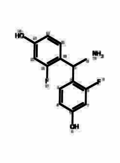 CC(c1ccc(O)cc1F)c1ccc(O)cc1F.N